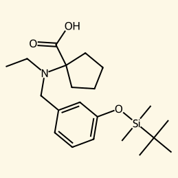 CCN(Cc1cccc(O[Si](C)(C)C(C)(C)C)c1)C1(C(=O)O)CCCC1